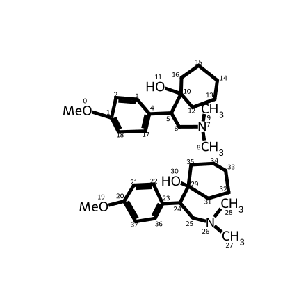 COc1ccc(C(CN(C)C)C2(O)CCCCC2)cc1.COc1ccc(C(CN(C)C)C2(O)CCCCC2)cc1